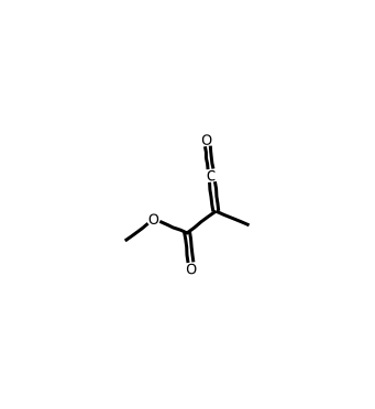 COC(=O)C(C)=C=O